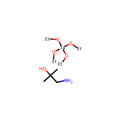 CC(C)(O)CN.CC[O][Ta]([O]CC)([O]CC)[O]CC